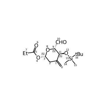 C=C1C[C@H](OC(=O)CC)O[C@H](C=O)[C@H]1O[Si](C)(C)C(C)(C)C